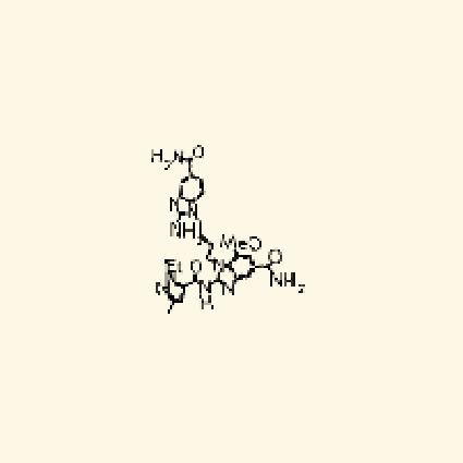 CCn1nc(C)cc1C(=O)Nc1nc2cc(C(N)=O)cc(OC)c2n1C/C=C/Cn1c(N)nc2cc(C(N)=O)ccc21